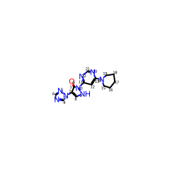 O=c1c(-n2cncn2)c[nH]n1-c1cc(N2CCCCC2)ncn1